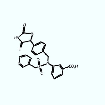 O=C1NC(=O)C(c2ccc(CN(c3cccc(C(=O)O)c3)S(=O)(=O)Cc3ccccc3)cc2)S1